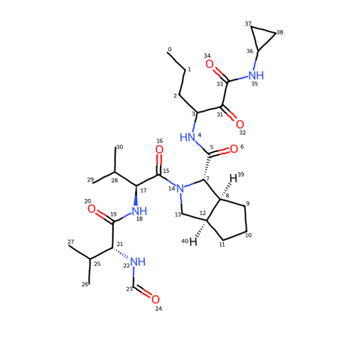 CCCC(NC(=O)[C@@H]1[C@H]2CCC[C@H]2CN1C(=O)[C@@H](NC(=O)[C@H](NC=O)C(C)C)C(C)C)C(=O)C(=O)NC1CC1